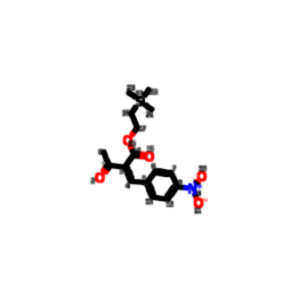 CC(=O)C(=Cc1ccc([N+](=O)[O-])cc1)C(=O)OCC[Si](C)(C)C